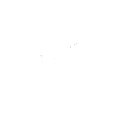 NC([O-])=S.NC([O-])=S.NC([O-])=S.NC([O-])=S.[Sn+4]